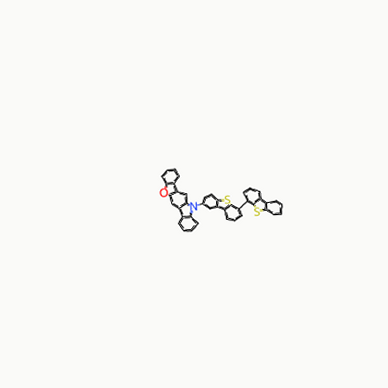 c1ccc2c(c1)oc1cc3c4ccccc4n(-c4ccc5sc6c(-c7cccc8c7sc7ccccc78)cccc6c5c4)c3cc12